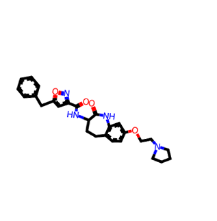 O=C(NC1CCc2ccc(OCCN3CCCC3)cc2NC1=O)c1cc(Cc2ccccc2)on1